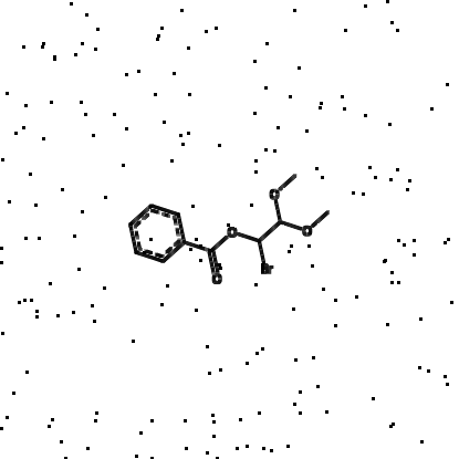 COC(OC)C(Br)OC(=O)c1ccccc1